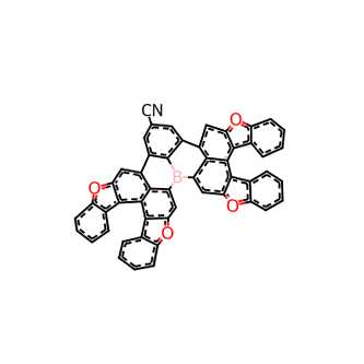 N#Cc1cc2c3c(c1)-c1cc4oc5ccccc5c4c4c1c(cc1oc5ccccc5c14)B3c1cc3oc4ccccc4c3c3c1c-2cc1oc2ccccc2c13